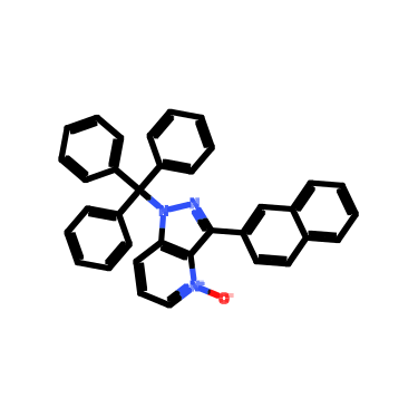 [O-][n+]1cccc2c1c(-c1ccc3ccccc3c1)nn2C(c1ccccc1)(c1ccccc1)c1ccccc1